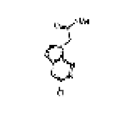 CNC(=O)Cn1ccc2cc(Cl)nnc21